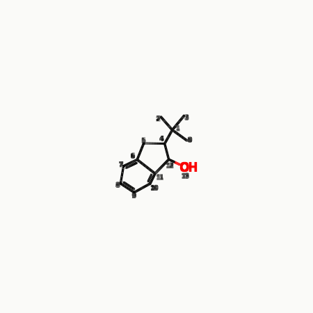 CC(C)(C)C1Cc2ccccc2C1O